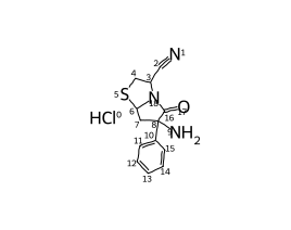 Cl.N#CC1CSC2CC(N)(c3ccccc3)C(=O)N12